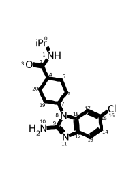 CC(C)NC(=O)C1CCC(n2c(N)nc3ccc(Cl)cc32)CC1